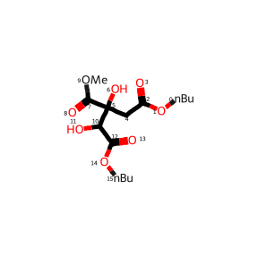 CCCCOC(=O)CC(O)(C(=O)OC)C(O)C(=O)OCCCC